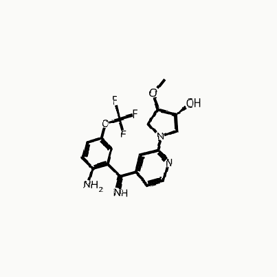 COC1CN(c2cc(C(=N)c3cc(OC(F)(F)F)ccc3N)ccn2)C[C@@H]1O